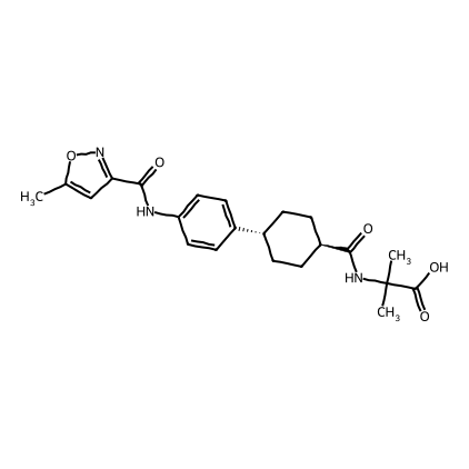 Cc1cc(C(=O)Nc2ccc([C@H]3CC[C@H](C(=O)NC(C)(C)C(=O)O)CC3)cc2)no1